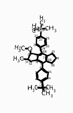 COC1c2c(c(-c3ccc(C(C)(C)C)cc3)c3c(c2-c2ccc([PH](C)(C)C)cc2)CCC3)CC1C